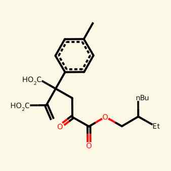 C=C(C(=O)O)C(CC(=O)C(=O)OCC(CC)CCCC)(C(=O)O)c1ccc(C)cc1